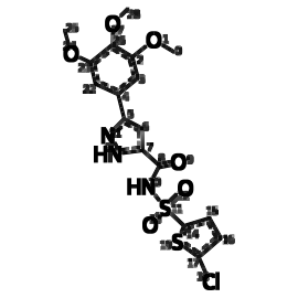 COc1cc(-c2cc(C(=O)NS(=O)(=O)c3ccc(Cl)s3)[nH]n2)cc(OC)c1OC